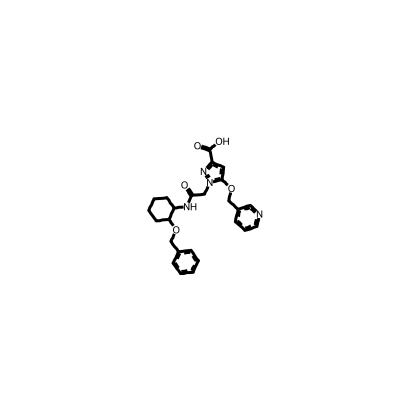 O=C(Cn1nc(C(=O)O)cc1OCc1cccnc1)NC1CCCCC1OCc1ccccc1